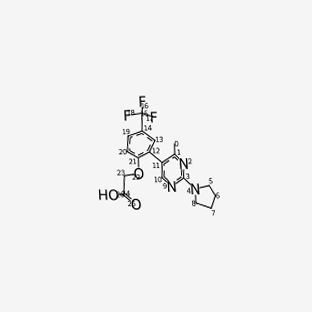 Cc1nc(N2CCCC2)ncc1-c1cc(C(F)(F)F)ccc1OCC(=O)O